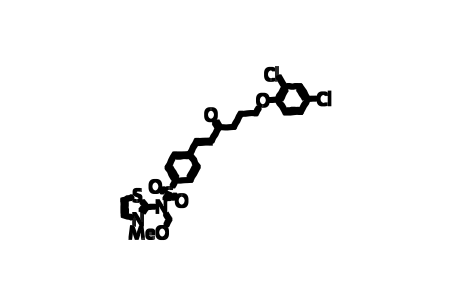 COCN(c1nccs1)S(=O)(=O)c1ccc(/C=C/C(=O)CCCOc2ccc(Cl)cc2Cl)cc1